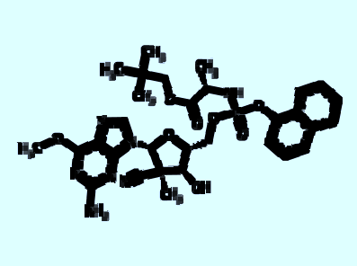 COc1nc(N)nc2c1ncn2[C@@H]1O[C@H](COP(=O)(N[C@@H](C)C(=O)OCC(C)(C)C)Oc2cccc3ccccc23)[C@@H](O)[C@@]1(C)C#N